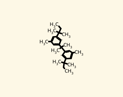 CCC(C)(C)c1[c]c(C(C)(C)c2[c]c(C(C)(C)CC)cc(C)c2)cc(C)c1